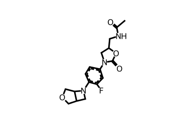 CC(=O)NCC1CN(c2ccc(N3CC4COCC43)c(F)c2)C(=O)O1